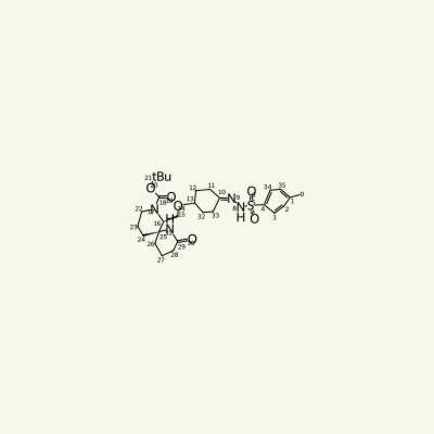 Cc1ccc(S(=O)(=O)NN=C2CCC(OC[C@@H]3N(C(=O)OC(C)(C)C)CCC[C@@]34CCCC(=O)N4)CC2)cc1